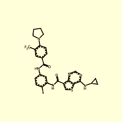 Cc1ccc(NC(=O)c2ccc(N3CCCC3)c(C(F)(F)F)c2)cc1NC(=O)c1csc2c(NC3CC3)ncnc12